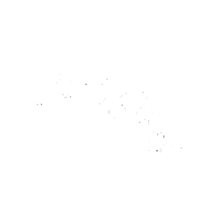 COc1cccc(COc2nc(C)n(-c3cc(-c4ccnc(C(C)(C)C)n4)ccc3C)c(=O)c2Br)n1